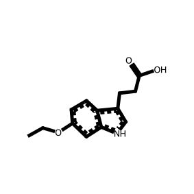 CCOc1ccc2c(CCC(=O)O)c[nH]c2c1